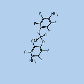 Nc1c(F)c(F)c(OC(Cl)(Cl)Oc2c(F)c(F)c(N)c(F)c2F)c(F)c1F